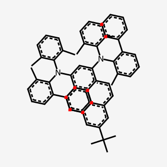 Cc1cccc(C)c1N(c1c(C)cccc1-c1ccccc1)c1cc(N(c2c(C)cccc2C)c2c(C)cccc2-c2ccccc2)c2ccc3cc(C(C)(C)C)cc4ccc1c2c43